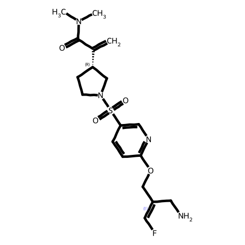 C=C(C(=O)N(C)C)[C@H]1CCN(S(=O)(=O)c2ccc(OC/C(=C/F)CN)nc2)C1